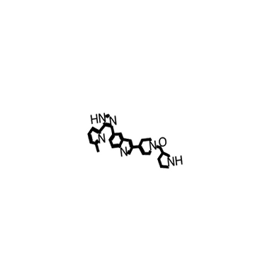 Cc1cccc(-c2[nH]cnc2-c2ccc3ncc(C4=CCN(C(=O)C5CCCNC5)CC4)cc3c2)n1